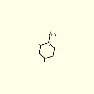 O=[C][N+]1[CH]CNCC1